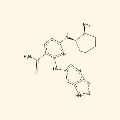 NC(=O)c1ccc(N[C@@H]2CCCC[C@@H]2N)nc1Nc1cnc2cc[nH]c2c1